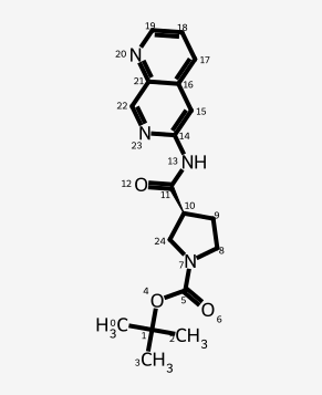 CC(C)(C)OC(=O)N1CC[C@H](C(=O)Nc2cc3cccnc3cn2)C1